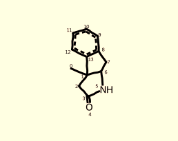 CC12CC(=O)NC1Cc1ccccc12